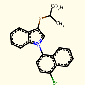 CC(Sc1cn(-c2ccc(Br)c3ccccc23)c2ccccc12)C(=O)O